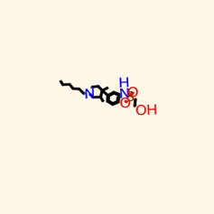 CCCCCCN1CCC(C)(c2cccc(NS(=O)(=O)CCO)c2)C(C)C1